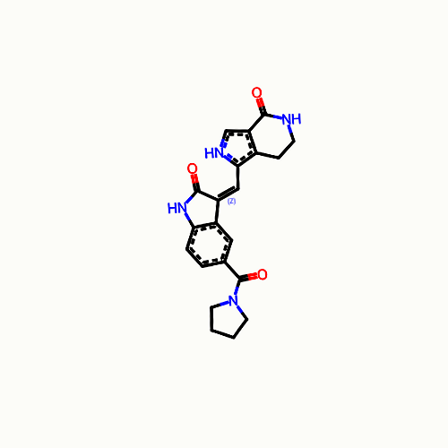 O=C1Nc2ccc(C(=O)N3CCCC3)cc2/C1=C/c1[nH]cc2c1CCNC2=O